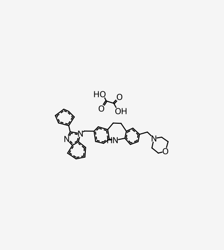 O=C(O)C(=O)O.c1ccc(-c2nc3ccccc3n2Cc2ccc3c(c2)CCc2cc(CN4CCOCC4)ccc2N3)cc1